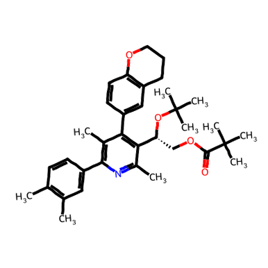 Cc1ccc(-c2nc(C)c([C@@H](COC(=O)C(C)(C)C)OC(C)(C)C)c(-c3ccc4c(c3)CCCO4)c2C)cc1C